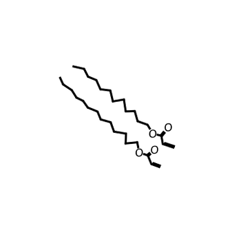 C=CC(=O)OCCCCCCCCCCCC.C=CC(=O)OCCCCCCCCCCCCC